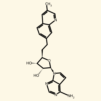 Cc1cnc2cc(CC[C@H]3O[C@@H](n4ccc5c(N)ncnc54)[C@H](O)[C@@H]3O)ccc2c1